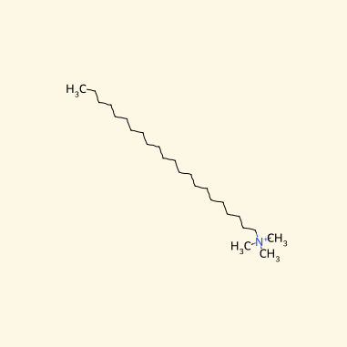 CCCCCCCCCCCCCCCCCCCCCC[N+](C)(C)C